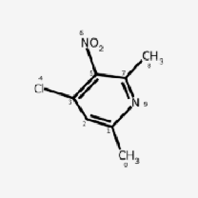 Cc1cc(Cl)c([N+](=O)[O-])c(C)n1